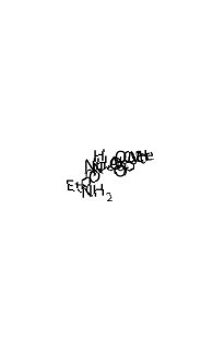 CCc1cc(C[C@H](NC(C)=O)C(=O)NCCCCOc2ccc(-c3ccccc3)c(O)c2C(=O)OC)ccc1N